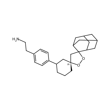 NCCc1ccc(C2CCC[C@@]3(C2)CC2(OO3)C3CC4CC(C3)CC2C4)cc1